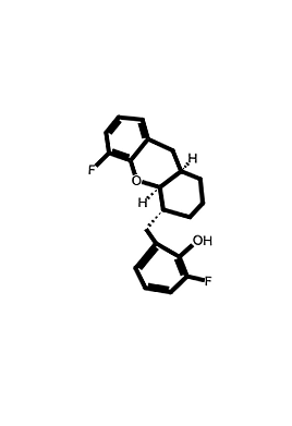 Oc1c(F)cccc1C[C@H]1CCC[C@@H]2Cc3cccc(F)c3O[C@H]12